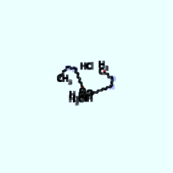 CCCCC/C=C\C/C=C\CCCCCCCCOCC(C)(COCCCCCCCC/C=C\C/C=C\CCCCC)NC.Cl